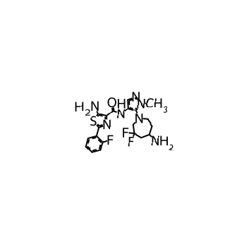 Cn1ncc(NC(=O)c2nc(-c3ccccc3F)sc2N)c1N1CCC(N)CC(F)(F)C1